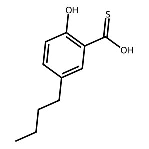 CCCCc1ccc(O)c(C(O)=S)c1